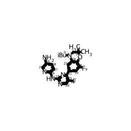 CCC(C)N1CC(C)(C)Oc2c(F)cc(-c3nc(Nc4ccc(N)cn4)ncc3F)cc21